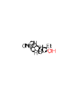 [C-]#[N+]C(C#N)[C@H]1CC[C@H]2[C@@H]3CCc4cc(O)c(CC)cc4[C@H]3CC[C@]12C